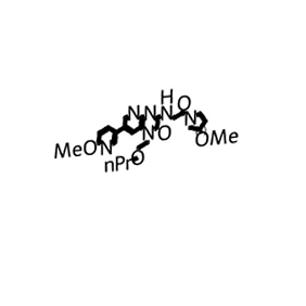 CCCOCCn1c(=O)c(NCC(=O)N2CC[C@H](OC)C2)nc2ncc(-c3ccc(OC)nc3)cc21